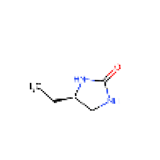 CC[C@@H]1CNC(=O)N1